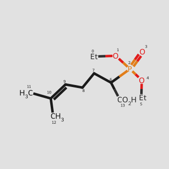 CCOP(=O)(OCC)C(CCC=C(C)C)C(=O)O